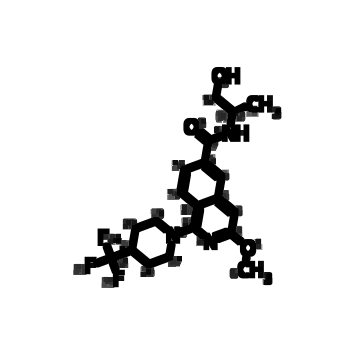 COc1cc2cc(C(=O)N[C@H](C)CO)ccc2c(N2CCC(C(F)(F)F)CC2)n1